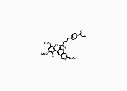 C=CC(=O)N1CC2CC1CN2CCCc1nc2c(-c3c(Cl)c(OC)cc(OC)c3Cl)cc3cnc(NC)nc3n2n1